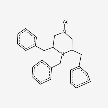 [CH2]C(=O)N1CC(Cc2ccccc2)N(Cc2ccccc2)C(Cc2ccccc2)C1